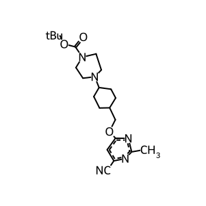 Cc1nc(C#N)cc(OCC2CCC(N3CCN(C(=O)OC(C)(C)C)CC3)CC2)n1